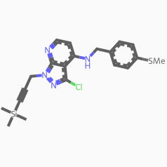 CSc1ccc(CNc2ccnc3c2c(Cl)nn3CC#C[Si](C)(C)C)cc1